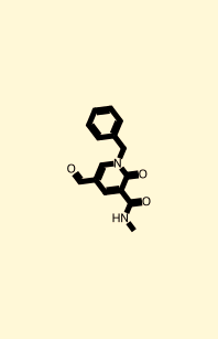 CNC(=O)c1cc(C=O)cn(Cc2ccccc2)c1=O